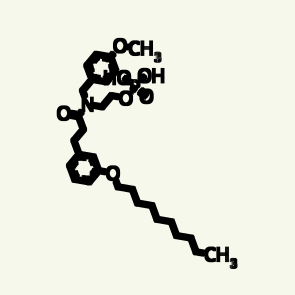 CCCCCCCCCCOc1cccc(CCC(=O)N(CCOP(=O)(O)O)Cc2ccc(OC)cc2)c1